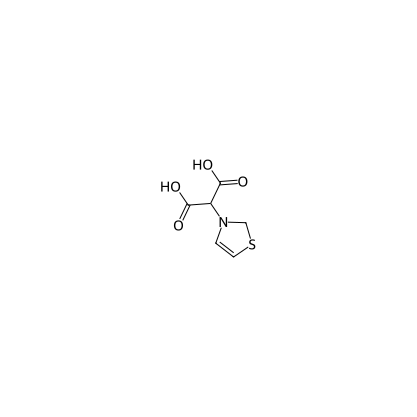 O=C(O)C(C(=O)O)N1C=CSC1